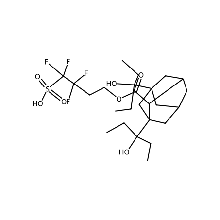 CCC(O)(CC)C12CC3CC(C1)C(C(=O)OCCC(F)(F)C(F)(F)S(=O)(=O)O)C(C(O)(CC)CC)(C3)C2